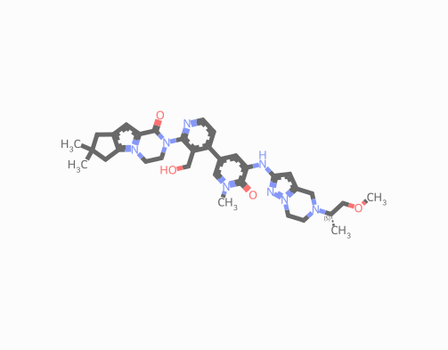 COC[C@H](C)N1CCn2nc(Nc3cc(-c4ccnc(N5CCn6c(cc7c6CC(C)(C)C7)C5=O)c4CO)cn(C)c3=O)cc2C1